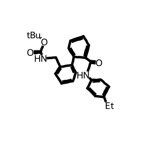 CCc1ccc(NC(=O)c2ccccc2-c2ccccc2CNC(=O)OC(C)(C)C)cc1